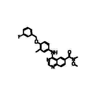 CON(C)C(=O)c1ccc2ncnc(Nc3ccc(OCc4cccc(F)c4)c(C)c3)c2c1